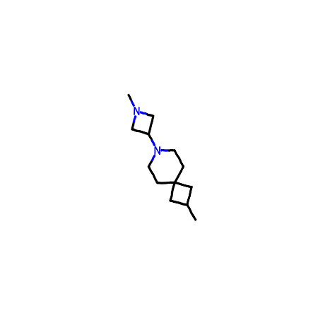 CC1CC2(CCN(C3CN(C)C3)CC2)C1